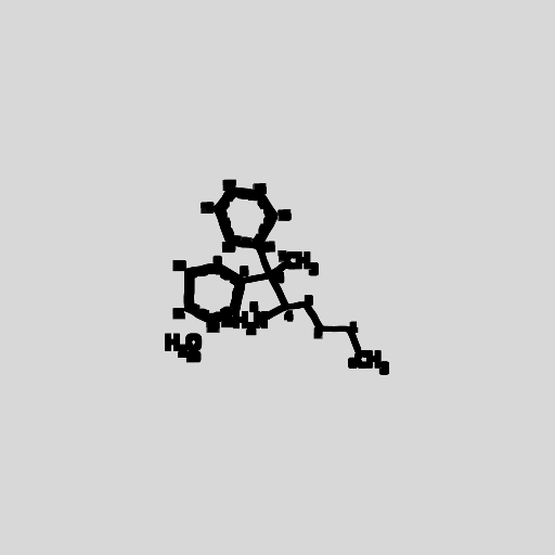 CCCCC(N)C(C)(c1ccccc1)c1ccccc1.O